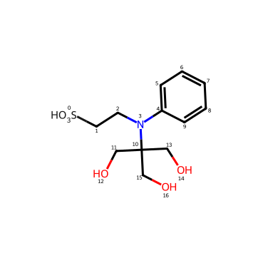 O=S(=O)(O)CCN(c1ccccc1)C(CO)(CO)CO